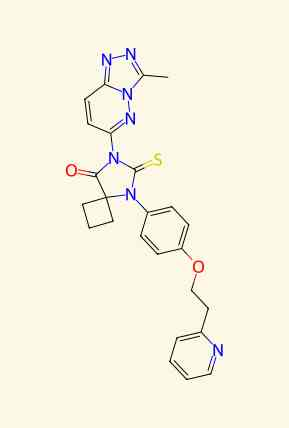 Cc1nnc2ccc(N3C(=O)C4(CCC4)N(c4ccc(OCCc5ccccn5)cc4)C3=S)nn12